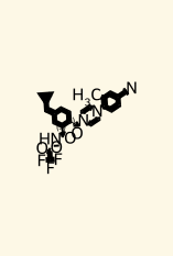 Cc1cc(C#N)ccc1N1CCN(C(=O)[C@H]2CCC(=CC3CC3)C[C@@H]2C(=O)NOC(=O)C(F)(F)F)CC1